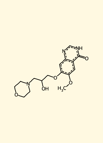 COc1cc2c(=O)[nH]cnc2cc1OCC(O)CN1CCOCC1